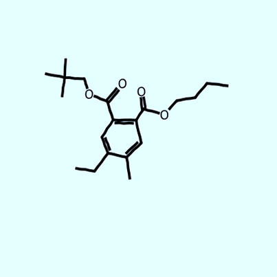 CCCCOC(=O)c1cc(C)c(CC)cc1C(=O)OCC(C)(C)C